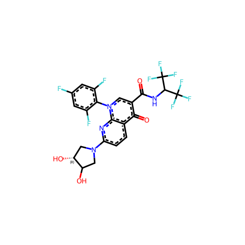 O=C(NC(C(F)(F)F)C(F)(F)F)c1cn(-c2c(F)cc(F)cc2F)c2nc(N3CC(O)[C@H](O)C3)ccc2c1=O